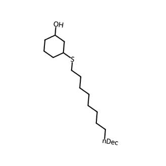 CCCCCCCCCCCCCCCCCCSC1CCCC(O)C1